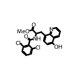 COC(=O)C(Cc1ccc(O)c2cccnc12)NC(=O)c1c(Cl)cccc1Cl